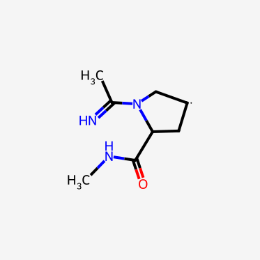 CNC(=O)C1C[CH]CN1C(C)=N